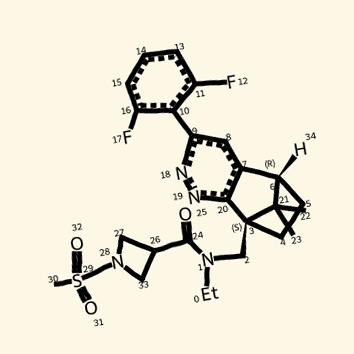 CCN(C[C@@]12CC[C@@H](c3cc(-c4c(F)cccc4F)nnc31)C2(C)C)C(=O)C1CN(S(C)(=O)=O)C1